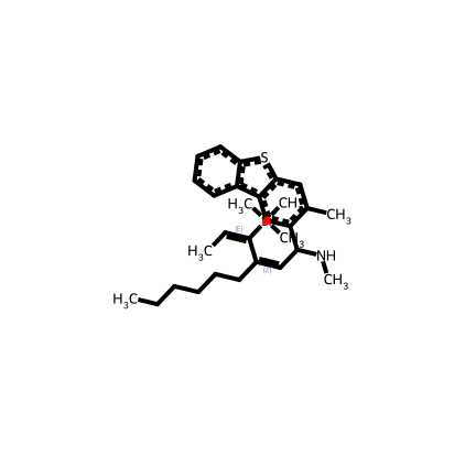 C/C=C(\C(=C/C(NC)c1cc2c(cc1C)sc1ccccc12)CCCCCC)[Si](C)(C)C